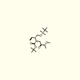 C=C[C@@H](CO[Si](C)(C)C(C)(C)C)N(CC(=O)N(C)OC)C(=O)OC(C)(C)C